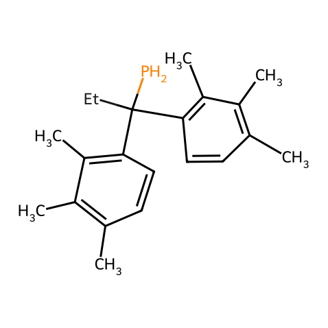 CCC(P)(c1ccc(C)c(C)c1C)c1ccc(C)c(C)c1C